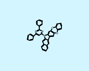 c1ccc(-c2cc(-n3c4cc5c(cc4c4cc6ccccc6cc43)Oc3ccccc3O5)nc(-c3ccccc3)n2)cc1